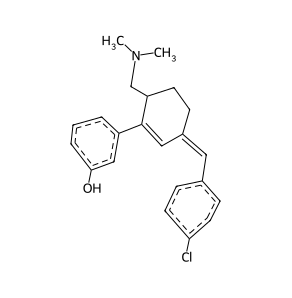 CN(C)CC1CCC(=Cc2ccc(Cl)cc2)C=C1c1cccc(O)c1